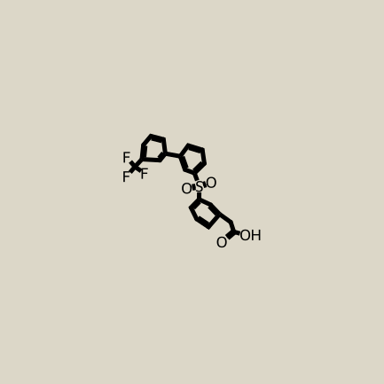 O=C(O)Cc1cccc(S(=O)(=O)c2cccc(-c3cccc(C(F)(F)F)c3)c2)c1